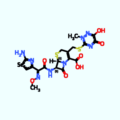 CON=C(C(=O)N[C@@H]1C(=O)N2C(C(=O)O)=C(CSc3nc(=O)c(O)nn3C)CS[C@H]12)c1c[se]c(N)n1